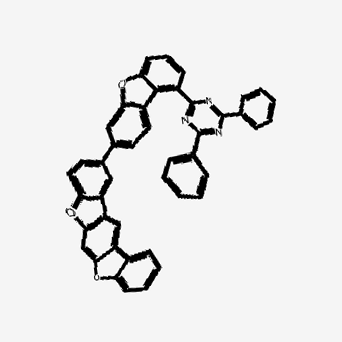 c1ccc(-c2nc(-c3ccccc3)nc(-c3cccc4oc5cc(-c6ccc7oc8cc9oc%10ccccc%10c9cc8c7c6)ccc5c34)n2)cc1